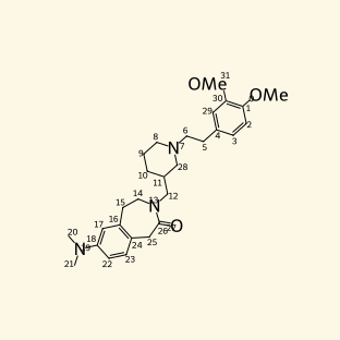 COc1ccc(CCN2CCCC(CN3CCc4cc(N(C)C)ccc4CC3=O)C2)cc1OC